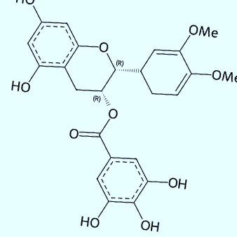 COC1=CCC([C@H]2Oc3cc(O)cc(O)c3C[C@H]2OC(=O)c2cc(O)c(O)c(O)c2)C=C1OC